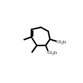 CCOC(=O)C1CCC=C(C)C(C)C1C(=O)OCC